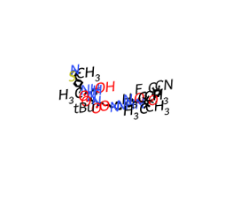 Cc1ncsc1-c1ccc([C@H](C)NC(=O)[C@@H]2C[C@@H](O)CN2C(=O)C(NC(=O)COCCN2CCN(c3ccc(C(=O)NC4C(C)(C)C(Oc5ccc(C#N)c(C(F)(F)F)c5)C4(C)C)cn3)CC2)C(C)(C)C)cc1